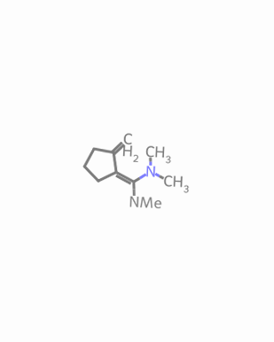 C=C1CCC/C1=C(\NC)N(C)C